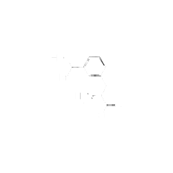 CC(Br)c1cccc(C[C@H](N)C(=O)O)c1